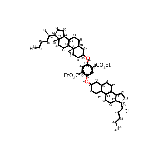 CCOC(=O)c1cc(OC2CC[C@@]3(C)C(CCC4C3CC[C@@]3(C)C4CC[C@@H]3[C@H](C)CCCC(C)C)C2)c(C(=O)OCC)cc1OC1CC[C@@]2(C)C(CCC3C2CC[C@@]2(C)C3CC[C@@H]2[C@H](C)CCCC(C)C)C1